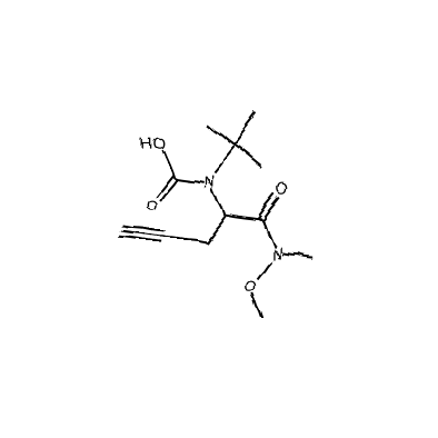 C#CCC(C(=O)N(C)OC)N(C(=O)O)C(C)(C)C